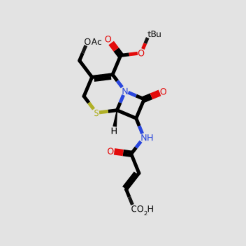 CC(=O)OCC1=C(C(=O)OC(C)(C)C)N2C(=O)C(NC(=O)C=CC(=O)O)[C@@H]2SC1